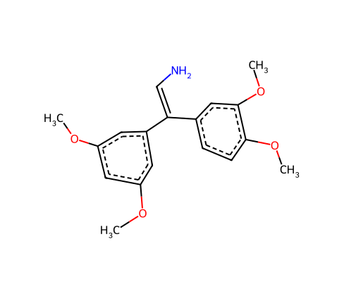 COc1cc(OC)cc(C(=CN)c2ccc(OC)c(OC)c2)c1